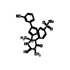 CN1C(=N)N[C@](C)(c2cc(-c3cccc(C#N)c3)cs2)C(c2ccc(S(=O)(=O)C(C)(C)C)cc2)C1=O